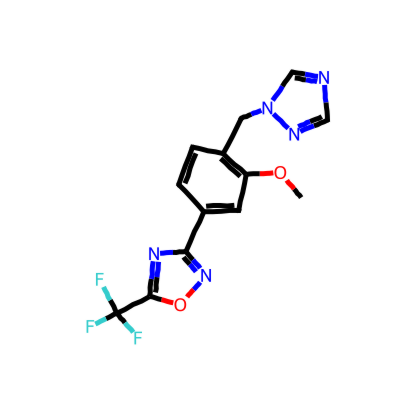 COc1cc(-c2noc(C(F)(F)F)n2)ccc1Cn1cncn1